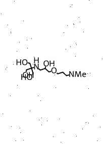 CNCCCOCC(O)CNC(CO)(CO)CO